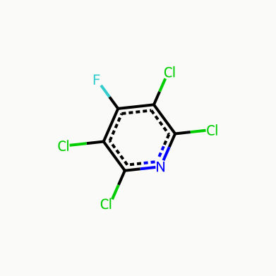 Fc1c(Cl)c(Cl)nc(Cl)c1Cl